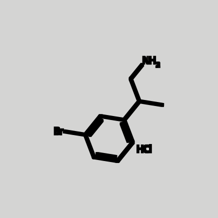 CC(CN)c1cccc(Br)c1.Cl